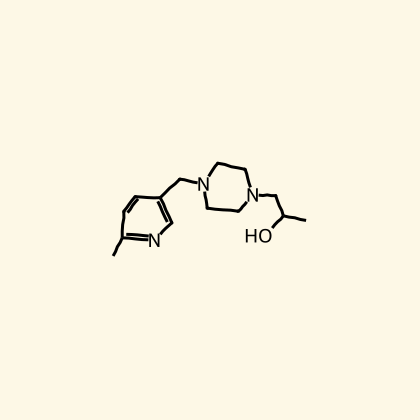 Cc1ccc(CN2CCN(CC(C)O)CC2)cn1